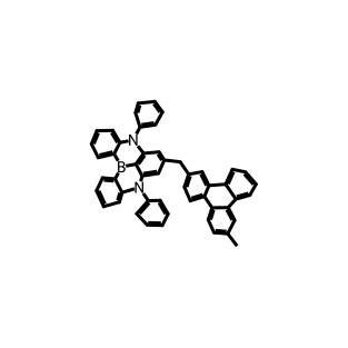 Cc1ccc2c3ccc(Cc4cc5c6c(c4)N(c4ccccc4)c4ccccc4B6c4ccccc4N5c4ccccc4)cc3c3ccccc3c2c1